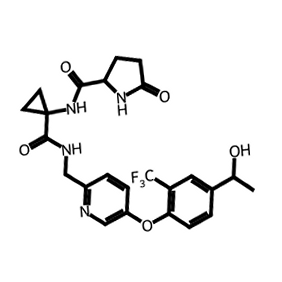 CC(O)c1ccc(Oc2ccc(CNC(=O)C3(NC(=O)C4CCC(=O)N4)CC3)nc2)c(C(F)(F)F)c1